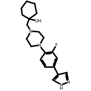 OC1(CN2CCN(c3ccc(-c4cn[nH]c4)cc3F)CC2)CCCCC1